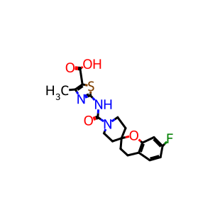 Cc1nc(NC(=O)N2CCC3(CCc4ccc(F)cc4O3)CC2)sc1C(=O)O